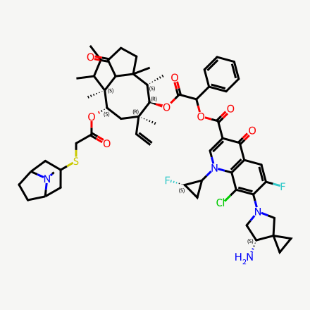 C=C[C@@]1(C)C[C@H](OC(=O)CSC2CC3CCC(C2)N3C)[C@@](C)(C(C)CC)C2C(=O)CCC2(C)[C@H](C)[C@H]1OC(=O)C(OC(=O)c1cn(C2C[C@@H]2F)c2c(Cl)c(N3C[C@@H](N)C4(CC4)C3)c(F)cc2c1=O)c1ccccc1